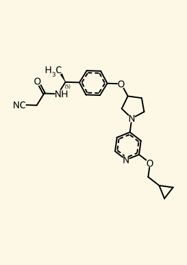 C[C@H](NC(=O)CC#N)c1ccc(OC2CCN(c3ccnc(OCC4CC4)c3)C2)cc1